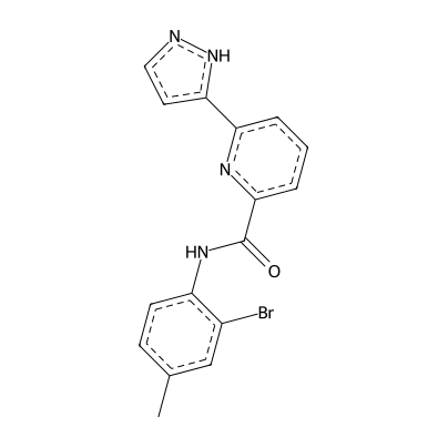 Cc1ccc(NC(=O)c2cccc(-c3ccn[nH]3)n2)c(Br)c1